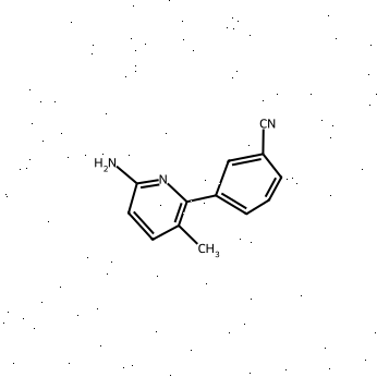 Cc1ccc(N)nc1-c1cccc(C#N)c1